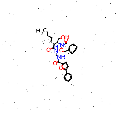 CCCCC[C@@H](C(=O)NCNC(=O)c1ccc(-c2ccccc2)o1)[C@@H](CO)N(C=O)OCc1ccccc1